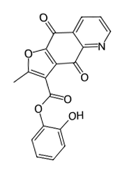 Cc1oc2c(c1C(=O)Oc1ccccc1O)C(=O)c1ncccc1C2=O